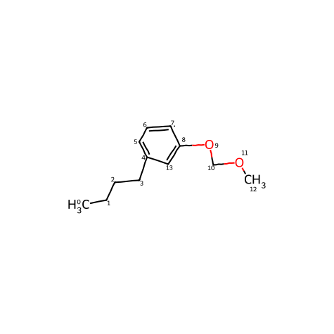 CCCCc1cc[c]c(OCOC)c1